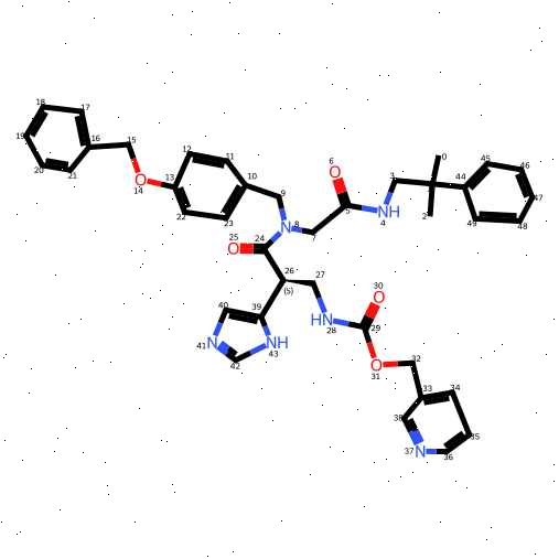 CC(C)(CNC(=O)CN(Cc1ccc(OCc2ccccc2)cc1)C(=O)[C@@H](CNC(=O)OCc1cccnc1)c1cnc[nH]1)c1ccccc1